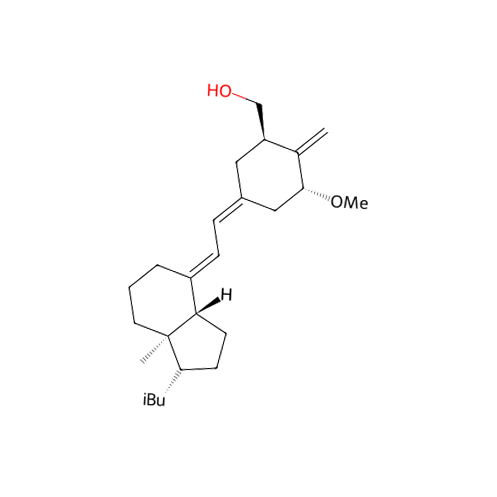 C=C1[C@H](CO)C/C(=C/C=C2\CCC[C@]3(C)C([C@@H](C)CC)CC[C@@H]23)C[C@H]1OC